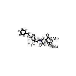 COC(=O)/C(=C\CC(C)(C)NC(=O)OCc1ccccc1)C[C@H](NC(=O)OC(C)(C)C)C(=O)OC